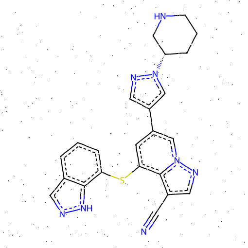 N#Cc1cnn2cc(-c3cnn([C@H]4CCCNC4)c3)cc(Sc3cccc4cn[nH]c34)c12